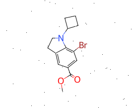 COC(=O)c1cc(Br)c2c(c1)CCN2C1CCC1